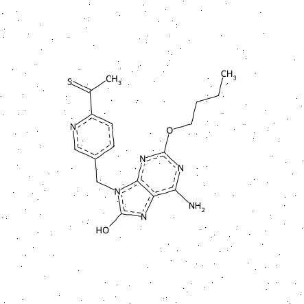 CCCCOc1nc(N)c2nc(O)n(Cc3ccc(C(C)=S)nc3)c2n1